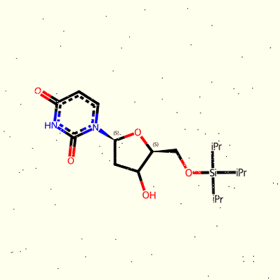 CC(C)[Si](OC[C@@H]1O[C@H](n2ccc(=O)[nH]c2=O)CC1O)(C(C)C)C(C)C